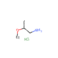 CCOC(C)CN.Cl